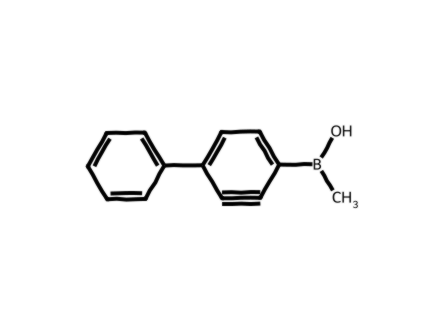 CB(O)c1c#cc(-c2ccccc2)cc1